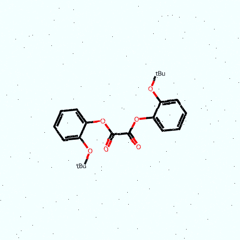 CC(C)(C)Oc1ccccc1OC(=O)C(=O)Oc1ccccc1OC(C)(C)C